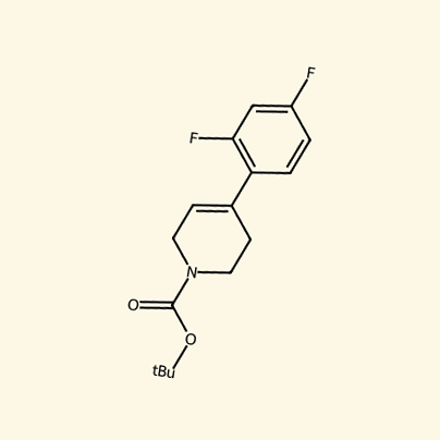 CC(C)(C)OC(=O)N1CC=C(c2ccc(F)cc2F)CC1